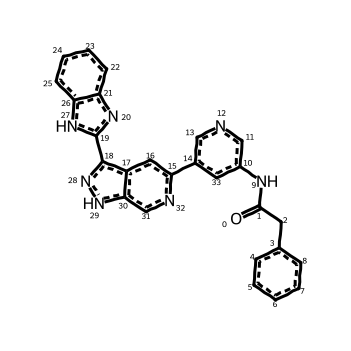 O=C(Cc1ccccc1)Nc1cncc(-c2cc3c(-c4nc5ccccc5[nH]4)n[nH]c3cn2)c1